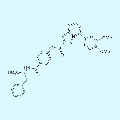 COc1ccc(-c2ccnc3cc(C(=O)Nc4ccc(C(=O)NC(Cc5ccccc5)C(=O)O)cc4)nn23)cc1OC